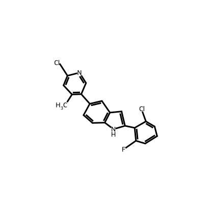 Cc1cc(Cl)ncc1-c1ccc2[nH]c(-c3c(F)cccc3Cl)cc2c1